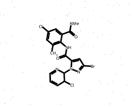 CNC(=O)c1cc(Cl)cc(C)c1NC(=O)c1cc(Br)nn1C1N=CC=CC1Cl